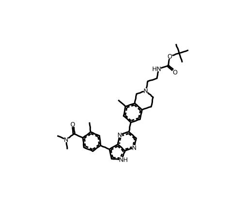 Cc1cc(-c2c[nH]c3ncc(-c4cc(C)c5c(c4)CCN(CCNC(=O)OC(C)(C)C)C5)nc23)ccc1C(=O)N(C)C